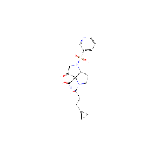 NC(=O)C12C(=O)CN(S(=O)(=O)c3cccnc3)C1CCN2C(=O)[CH]CC1CC1